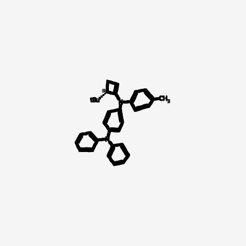 Cc1ccc(N(C2=CC[C@H]2C(C)(C)C)c2ccc(N(c3ccccc3)c3ccccc3)cc2)cc1